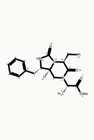 COC(=O)[C@H](C)N1C[C@H]2[C@H](Cc3ccccc3)NC(=O)N2[C@@H](CC(C)C)C1=O